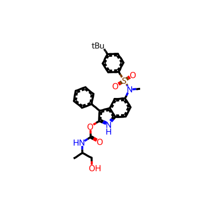 CC(CO)NC(=O)Oc1[nH]c2ccc(N(C)S(=O)(=O)c3ccc(C(C)(C)C)cc3)cc2c1-c1ccccc1